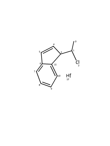 CC(Cl)C1C=Cc2ccccc21.[Hf]